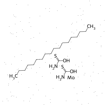 CCCCCCCCCCCCCCCCCC.NC(O)=S.NC(O)=S.[Mo]